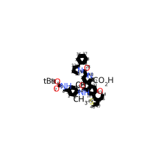 Cc1cc(CNC(=O)OC(C)(C)C)cc(C)c1NC(=O)c1cc2c(cc1-c1ccc(C(=O)N3CCC[C@H]3c3ccccc3)nc1C(=O)O)OCCc1ccsc1-2